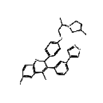 CC1=C(c2cccc(-c3cnsc3)c2)C(c2ccc(OCC(C)N3CCC(C)C3)cc2)Oc2ccc(O)cc21